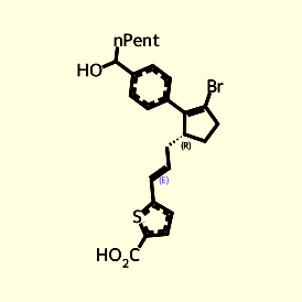 CCCCCC(O)c1ccc(C2=C(Br)CC[C@@H]2C/C=C/c2ccc(C(=O)O)s2)cc1